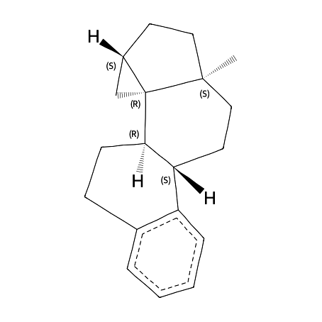 C[C@@]12CC[C@H]3C[C@]31[C@@H]1CCc3ccccc3[C@H]1CC2